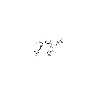 CC(C)C[C@H](NC(=O)CNC(=O)[C@H](C)N)C(=O)N[C@H](C(=O)N[C@@H](CCCNC(=N)N)C(=O)N1CCC[C@H]1C(=O)O)C(C)C